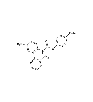 COc1ccc(OC(=O)Nc2ccc(N)cc2-c2ccccc2N)cc1